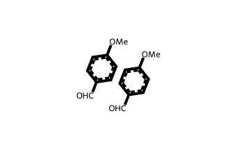 COc1ccc(C=O)cc1.COc1ccc(C=O)cc1